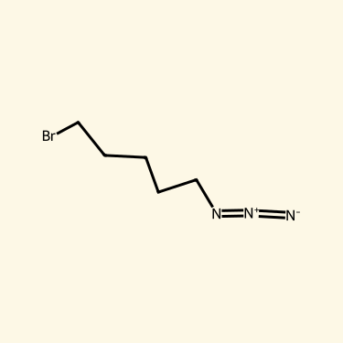 [N-]=[N+]=NCCCCCBr